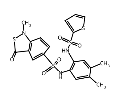 Cc1cc(NS(=O)(=O)c2ccc3c(c2)c(=O)sn3C)c(NS(=O)(=O)c2cccs2)cc1C